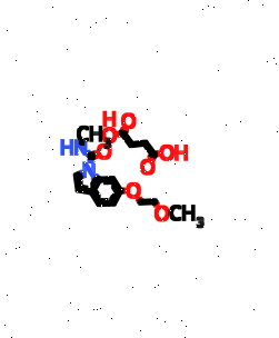 CNC(=O)n1ccc2ccc(OCCOC)cc21.O=C(O)CCC(=O)O